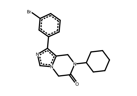 O=C1Cn2cnc(-c3cccc(Br)c3)c2CN1C1CCCCC1